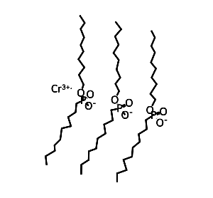 CCCCCCCCCCOP(=O)([O-])CCCCCCCCCC.CCCCCCCCCCOP(=O)([O-])CCCCCCCCCC.CCCCCCCCCCOP(=O)([O-])CCCCCCCCCC.[Cr+3]